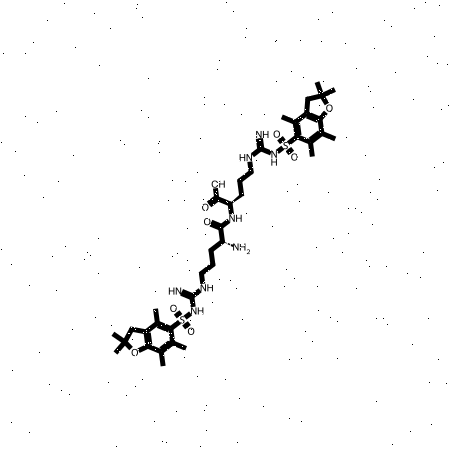 Cc1c(C)c(S(=O)(=O)NC(=N)NCCC[C@@H](N)C(=O)N[C@H](CCCNC(=N)NS(=O)(=O)c2c(C)c(C)c3c(c2C)CC(C)(C)O3)C(=O)O)c(C)c2c1OC(C)(C)C2